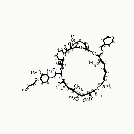 CO[C@@H]1C[C@H](C[C@@H](C)[C@@H]2CC(=O)[C@H](C)/C=C(\C)[C@@H](O)[C@@H](OC)C(=O)[C@H](C)C[C@H](C)/C=C/C=C/C=C(\C)C(OCC3CCOCC3)C[C@@H]3CC[C@@H](C)[C@@](O)(O3)C(=O)C(=O)N3CCCC[C@H]3C(=O)O2)CC[C@H]1OCCO